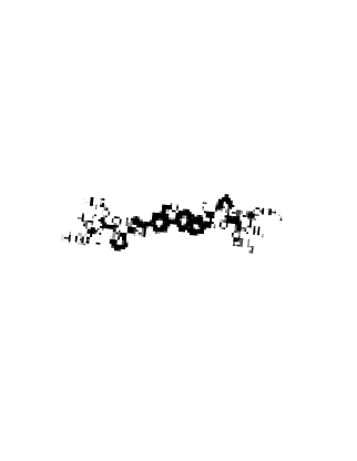 COC(=O)NC(C(=O)N1CCC[C@H]1c1ncc(-c2ccc3c(c2)COc2cc4c(ccc5nc([C@@H]6CCCN6C(=O)[C@@H](NC(=O)OC)[C@@H](C)OC)[nH]c54)cc2-3)[nH]1)[C@@H](C)OC